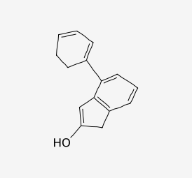 OC1=Cc2c(cccc2C2=CC=CCC2)C1